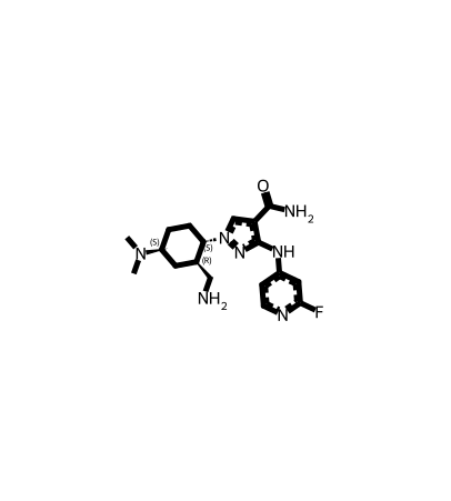 CN(C)[C@H]1CC[C@H](n2cc(C(N)=O)c(Nc3ccnc(F)c3)n2)[C@@H](CN)C1